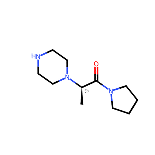 C[C@H](C(=O)N1CCCC1)N1CCNCC1